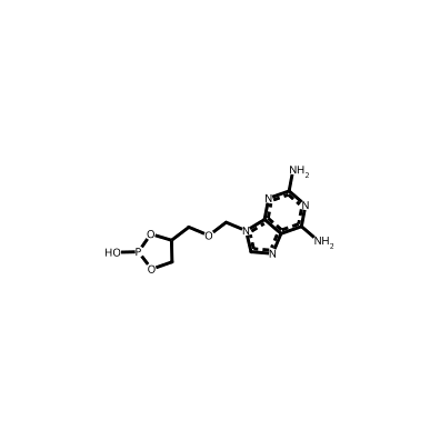 Nc1nc(N)c2ncn(COCC3COP(O)O3)c2n1